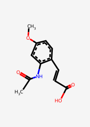 COc1ccc(C=CC(=O)O)c(NC(C)=O)c1